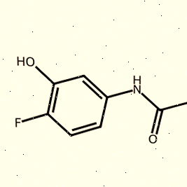 CC(=O)Nc1ccc(F)c(O)c1